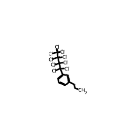 CC[CH]c1cccc(C(Cl)(Cl)C(Cl)(Cl)C(Cl)(Cl)C(Cl)(Cl)Cl)c1